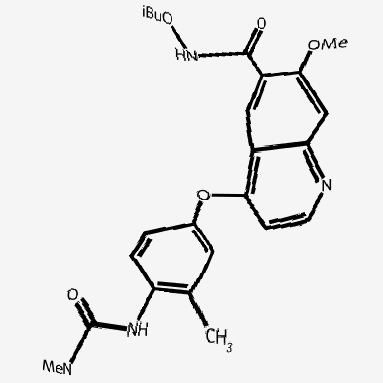 CNC(=O)Nc1ccc(Oc2ccnc3cc(OC)c(C(=O)NOCC(C)C)cc23)cc1C